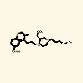 CCCSCCCN1CC[C@@H](CCCc2c(F)cnc3ccc(OC)cc23)[C@@H](CC(=O)O)C1